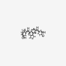 O=C1CC[C@@H](Nc2ncc(C(=O)NC3C4CC5CC3CC(O)(C5)C4)c(C3CCCC3)n2)CN1